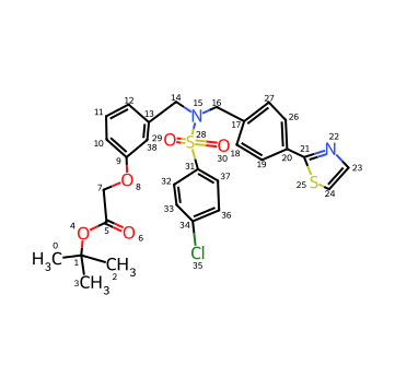 CC(C)(C)OC(=O)COc1cccc(CN(Cc2ccc(-c3nccs3)cc2)S(=O)(=O)c2ccc(Cl)cc2)c1